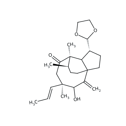 C=C1C(O)[C@@](C)(/C=C/C)CC(=O)[C@@]2(C)C3[C@H](C4OCCO4)CCC13CC[C@H]2C